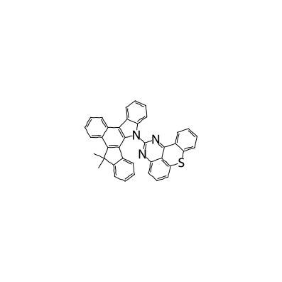 CC1(C)c2ccccc2-c2c1c1ccccc1c1c3ccccc3n(-c3nc4c5c(cccc5n3)Sc3ccccc3-4)c21